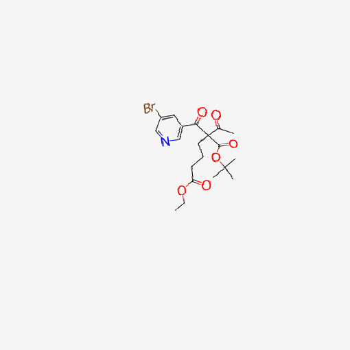 CCOC(=O)CCCC(C(C)=O)(C(=O)OC(C)(C)C)C(=O)c1cncc(Br)c1